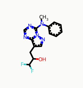 CN(c1ccccc1)c1ncnc2c(CC(O)C(F)F)cnn12